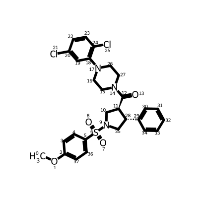 COc1ccc(S(=O)(=O)N2C[C@@H](C(=O)N3CCN(c4cc(Cl)ccc4Cl)CC3)[C@H](c3ccccc3)C2)cc1